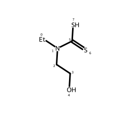 CCN(CCO)C(=S)S